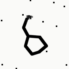 C[C](C)CC1CCCCC1